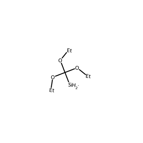 CCOC([SiH2])(OCC)OCC